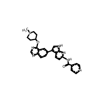 CN1CCC(Oc2ncnc3ccc(-c4c[nH]c5nc(NC(=O)c6ccncc6)ccc45)cc23)CC1